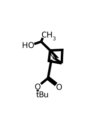 CC(O)C12CC(C1)N(C(=O)OC(C)(C)C)C2